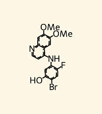 COc1cc2nccc(Nc3cc(O)c(Br)cc3F)c2cc1OC